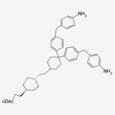 CCCCCCCCCCCC[C@H]1CC[C@H](CCC2CCC(c3ccc(Cc4ccc(N)cc4)cc3)(c3ccc(Cc4ccc(N)cc4)cc3)CC2)CC1